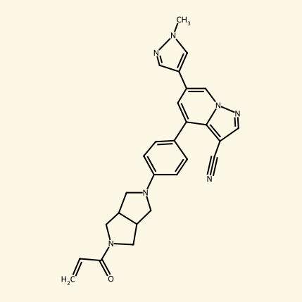 C=CC(=O)N1CC2CN(c3ccc(-c4cc(-c5cnn(C)c5)cn5ncc(C#N)c45)cc3)CC2C1